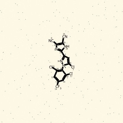 N#Cc1nc(-c2cc(Cl)n(-c3c(Cl)cc(C(F)(F)F)cc3Cl)n2)[nH]c1C#N